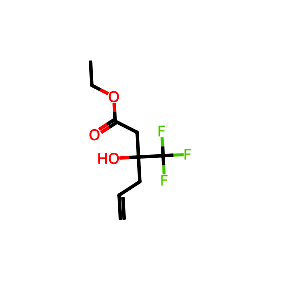 C=CCC(O)(CC(=O)OCC)C(F)(F)F